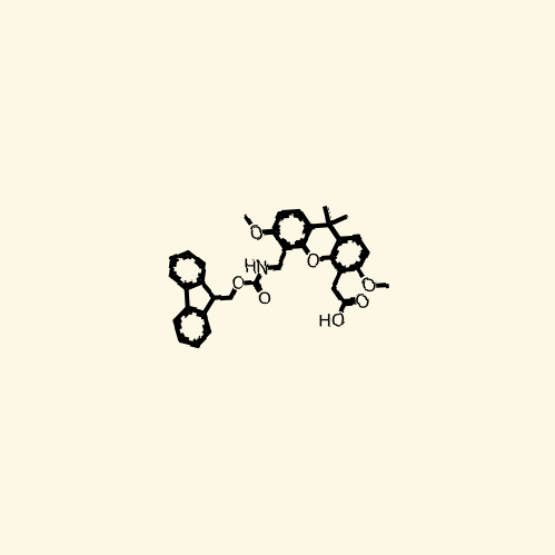 COc1ccc2c(c1CNC(=O)OCC1c3ccccc3-c3ccccc31)Oc1c(ccc(OC)c1CC(=O)O)C2(C)C